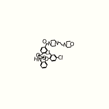 O=C(c1ccc(S(=O)(=O)Nc2ccccc2Oc2ccc(Cl)cc2Cl)cc1)N1CCN(CCN2CCOCC2)CC1